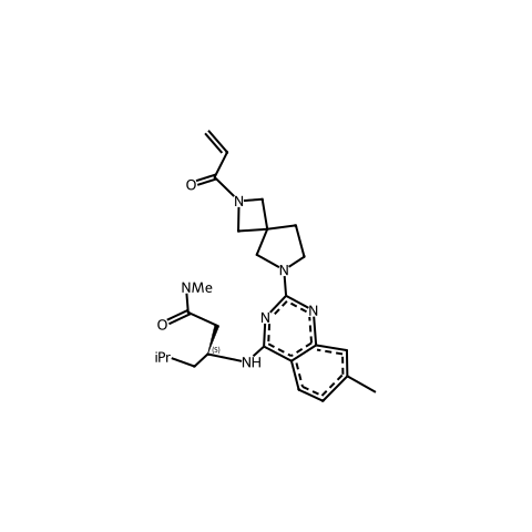 C=CC(=O)N1CC2(CCN(c3nc(N[C@H](CC(=O)NC)CC(C)C)c4ccc(C)cc4n3)C2)C1